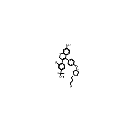 CC(C)(O)c1ccc(C2=C(c3ccc(O[C@H]4CCN(CCCF)C4)cc3)c3ccc(O)cc3SC2)c(F)c1